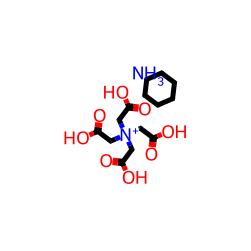 C1CCCCC1.N.O=C(O)C[N+](CC(=O)O)(CC(=O)O)CC(=O)O